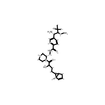 CC(F)(F)C(ON)[C@@H](N)c1ccc(C(=O)NC[C@H]2COCCN2C(=O)C(O)CCC2C3CC=C[C@H]32)nc1